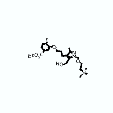 CCOC(=O)c1ccc(F)c(OCCCc2c(C)nn(COCC[Si](C)(C)C)c2CO)c1